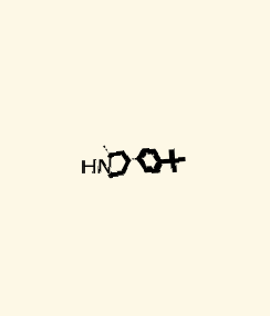 C[C@@H]1C[C@H](c2ccc(C(C)(C)C)cc2)CCN1